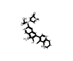 Cc1c(-c2cc3cc(N(C(=O)O)[C@@H]4CC(=O)N(C)C4)ncc3c(N)c2F)cnc2c1NCCC2